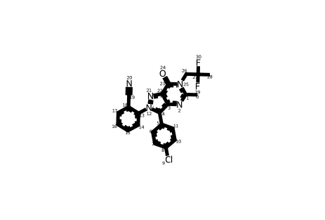 Cc1nc2c(-c3ccc(Cl)cc3)n(-c3ccccc3C#N)nc2c(=O)n1CC(C)(F)F